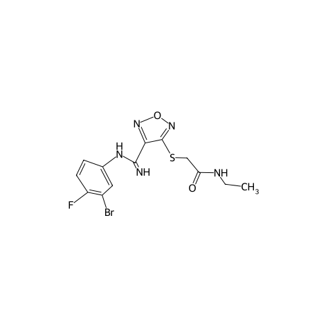 CCNC(=O)CSc1nonc1C(=N)Nc1ccc(F)c(Br)c1